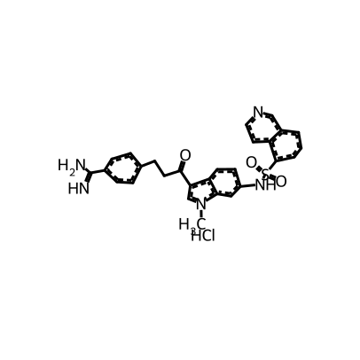 Cl.Cn1cc(C(=O)CCc2ccc(C(=N)N)cc2)c2ccc(NS(=O)(=O)c3cccc4cnccc34)cc21